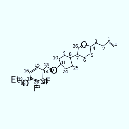 C=CCCC1CCC(C2CCC(OCc3ccc(OCC)c(F)c3F)CC2)CO1